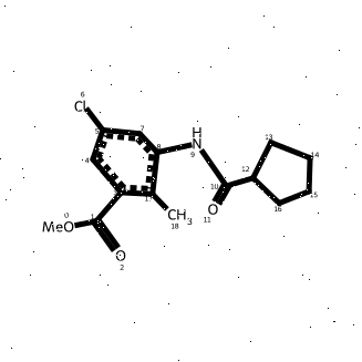 COC(=O)c1cc(Cl)cc(NC(=O)C2CCCC2)c1C